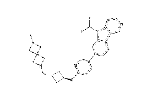 CN1CC2(C1)CN(C[C@H]1C[C@H](Oc3ccc(-c4ccc5c6cnccc6n(C(F)F)c5c4)cn3)C1)C2